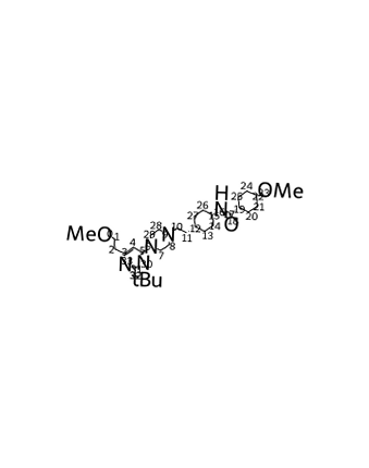 COCCc1cc(N2CCN(CC[C@H]3CC[C@@H](NC(=O)[C@H]4CC[C@@H](OC)CC4)CC3)CC2)nc(C(C)(C)C)n1